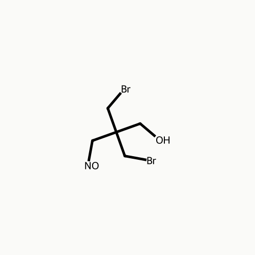 O=NCC(CO)(CBr)CBr